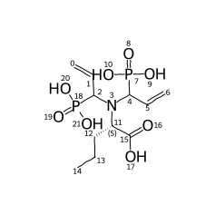 C=CC(N(C(C=C)P(=O)(O)O)[C@@H](CCC)C(=O)O)P(=O)(O)O